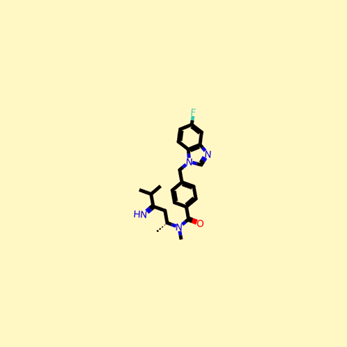 CC(C)C(=N)C[C@@H](C)N(C)C(=O)c1ccc(Cn2cnc3cc(F)ccc32)cc1